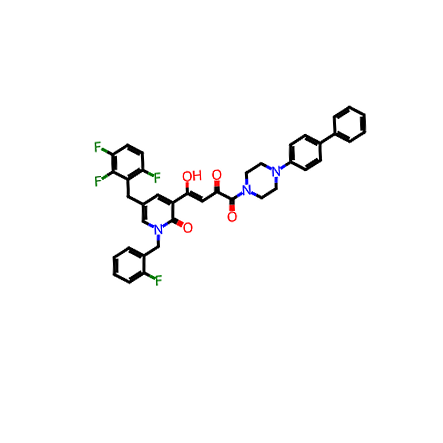 O=C(C=C(O)c1cc(Cc2c(F)ccc(F)c2F)cn(Cc2ccccc2F)c1=O)C(=O)N1CCN(c2ccc(-c3ccccc3)cc2)CC1